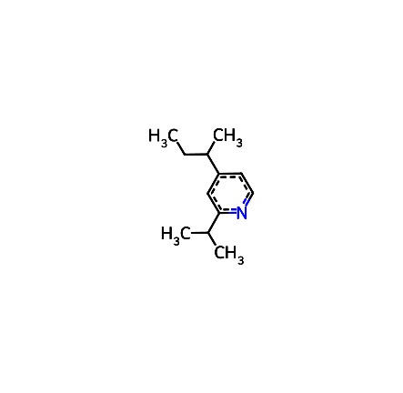 CCC(C)c1ccnc(C(C)C)c1